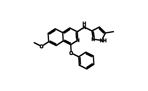 COc1ccc2cc(Nc3cc(C)[nH]n3)nc(Oc3ccccc3)c2c1